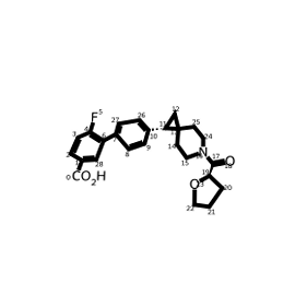 O=C(O)c1ccc(F)c(-c2ccc([C@@H]3CC34CCN(C(=O)[C@H]3CCCO3)CC4)cc2)c1